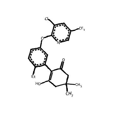 CCc1ccc(Oc2ncc(C(F)(F)F)cc2Cl)cc1C1=C(O)CC(C)(C)CC1=O